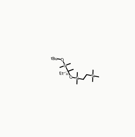 CC[C@](C)(O[Si](C)(C)CC[Si](C)(C)C)[Si](C)(C)OC(C)(C)C